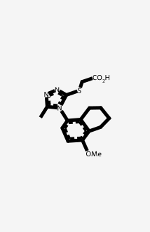 COc1ccc(-n2c(C)nnc2SCC(=O)O)c2c1CCCC2